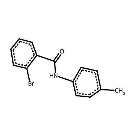 Cc1ccc(NC(=O)c2ccccc2Br)cc1